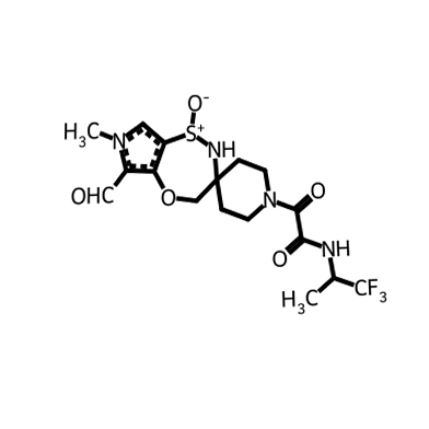 CC(NC(=O)C(=O)N1CCC2(CC1)COc1c(cn(C)c1C=O)[S+]([O-])N2)C(F)(F)F